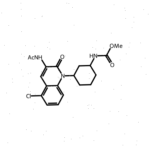 COC(=O)NC1CCCC(n2c(=O)c(NC(C)=O)cc3c(Cl)cccc32)C1